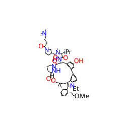 CCn1c(-c2ccccc2CCOC)c2c3cc(ccc31)-c1cc(O)cc(c1)C[C@H](NC(=O)[C@H](C(C)C)N(C)C(=O)[C@H]1CCN(C(=O)CCCN(C)C)C1)C(=O)N1CCC[C@H](N1)C(=O)OCC(C)(C)C2